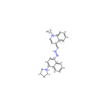 CN1C=C/C(=C\N=N\c2ccc(N3CCCC3)c3ccccc23)c2ccccc21